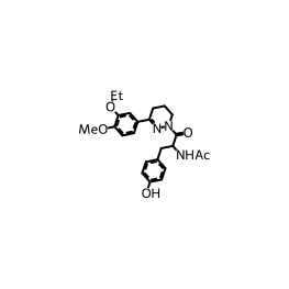 CCOc1cc(C2=NN(C(=O)C(Cc3ccc(O)cc3)NC(C)=O)CCC2)ccc1OC